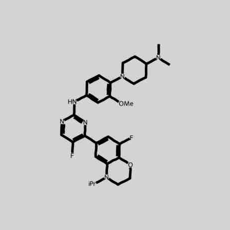 COc1cc(Nc2ncc(F)c(-c3cc(F)c4c(c3)N(C(C)C)CCO4)n2)ccc1N1CCC(N(C)C)CC1